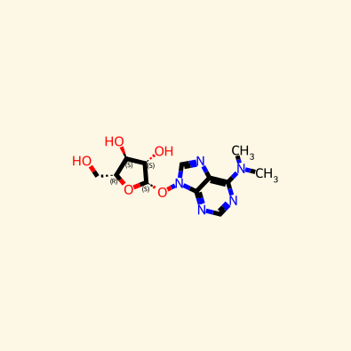 CN(C)c1ncnc2c1ncn2O[C@@H]1O[C@H](CO)[C@@H](O)[C@@H]1O